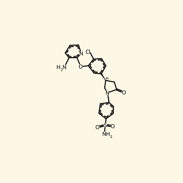 Nc1cccnc1Oc1cc([C@H]2CC(=O)N(c3ccc(S(N)(=O)=O)cc3)C2)ccc1Cl